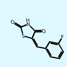 O=C1NC(=O)/C(=C\c2cccc(F)c2)S1